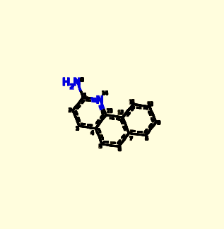 Nc1ccc2ccc3ccccc3c2n1